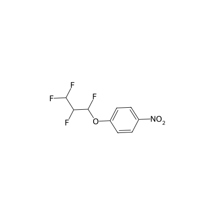 O=[N+]([O-])c1ccc(OC(F)C(F)C(F)F)cc1